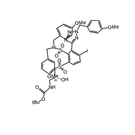 COc1ccc(CN(Cc2ccc(OC)cc2)S(=O)(=O)c2c(S(=O)(=O)C[C@H](O)CNC(=O)OC(C)(C)C)ccc(I)c2-c2nnn(Cc3ccc(OC)cc3)n2)cc1